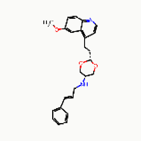 COc1ccc2nccc(CC[C@H]3OC[C@H](NC/C=C/c4ccccc4)CO3)c2c1